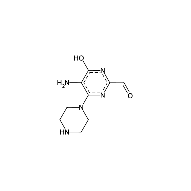 Nc1c(O)nc(C=O)nc1N1CCNCC1